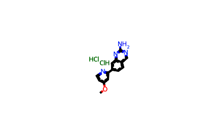 COc1ccnc(-c2ccc3cnc(N)nc3c2)c1.Cl.Cl